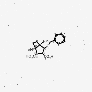 O=C(O)C1C(OCc2ccccc2)[C@H]2CC[C@H]2N1C(=O)O